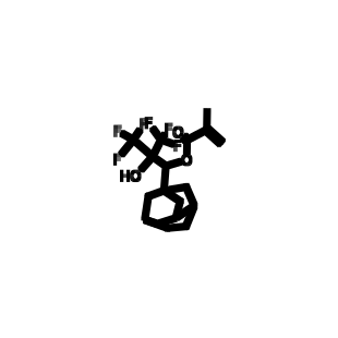 C=C(C)C(=O)OC(C12CC3CCC(C1)C(C3)C2)C(O)(C(F)(F)F)C(F)(F)F